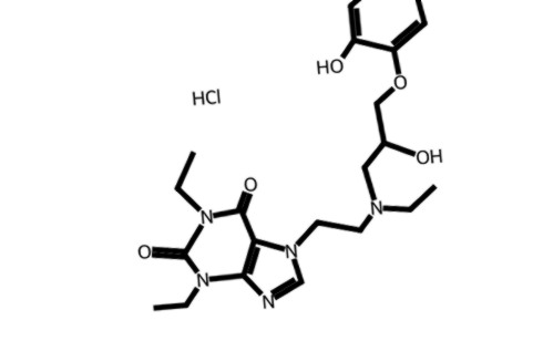 CCN(CCn1cnc2c1c(=O)n(CC)c(=O)n2CC)CC(O)COc1ccccc1O.Cl